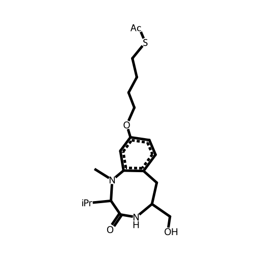 CC(=O)SCCCCOc1ccc2c(c1)N(C)C(C(C)C)C(=O)NC(CO)C2